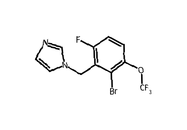 Fc1ccc(OC(F)(F)F)c(Br)c1Cn1ccnc1